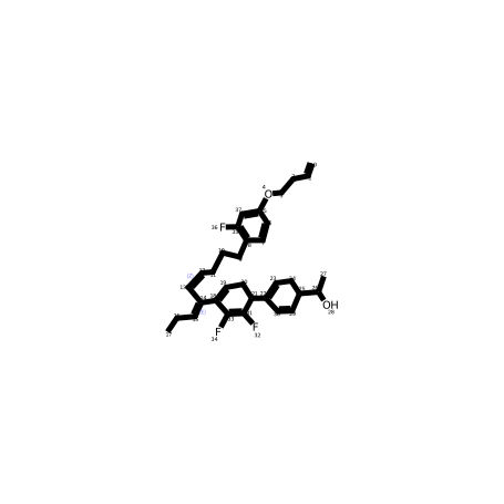 C=CCCOc1ccc(CCC/C=C\C(=C/CC)C2=CCC(C3=CCC(C(C)O)C=C3)C(F)=C2F)c(F)c1